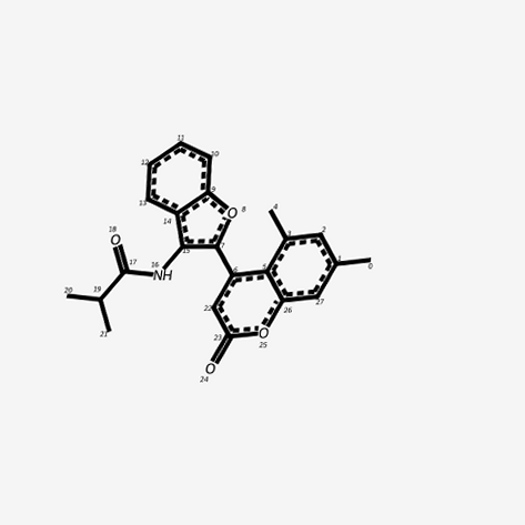 Cc1cc(C)c2c(-c3oc4ccccc4c3NC(=O)C(C)C)cc(=O)oc2c1